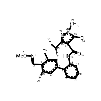 CON=Cc1c(F)cc(-c2ccccc2NC(=O)c2c(C(F)F)nn(C)c2Cl)cc1F